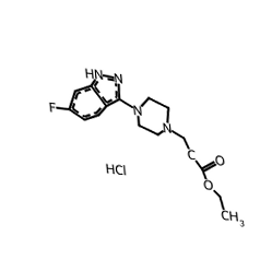 CCOC(=O)CCN1CCN(c2n[nH]c3cc(F)ccc23)CC1.Cl